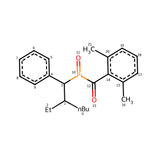 CCCCC(CC)C(c1ccccc1)[P](=O)C(=O)c1c(C)cccc1C